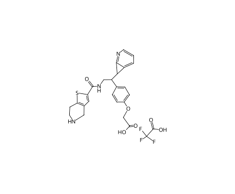 O=C(O)C(F)(F)F.O=C(O)COc1ccc(C(CNC(=O)c2cc3c(s2)CCNC3)C2c3cccnc32)cc1